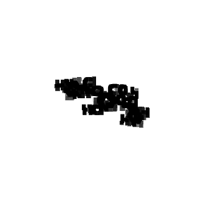 Cl.O=C(O)c1c(OCC(Cl)C2CNCCN2)cncc1OCC(Cl)C1CNCCN1